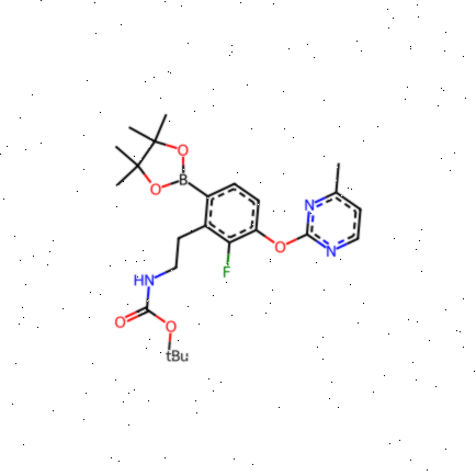 Cc1ccnc(Oc2ccc(B3OC(C)(C)C(C)(C)O3)c(CCNC(=O)OC(C)(C)C)c2F)n1